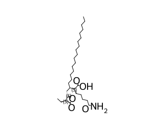 CCCCCCCCCCCCCCCCCC(C[C@@H]1OC(=O)[C@H]1CC)[C@H](CCCCC(N)=O)C(=O)O